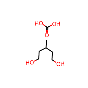 CC(CCO)CCO.O=C(O)O